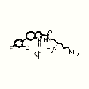 NCCC[C@H](N)CNC(=O)c1cc2ccc(-c3ccc(F)cc3Cl)cc2[nH]1.[Cl-].[H+]